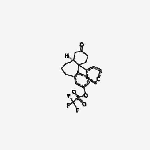 O=C1CCC2(c3ccccc3)c3ccc(OS(=O)(=O)C(F)(F)F)cc3CCC[C@H]2C1